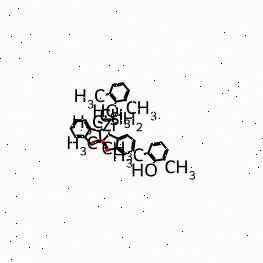 CC1=Cc2ccccc2[CH]1[Zr]([CH3])([CH3])(=[SiH2])[CH]1C(C)=Cc2ccccc21.Cc1cccc(C)c1O.Cc1cccc(C)c1O